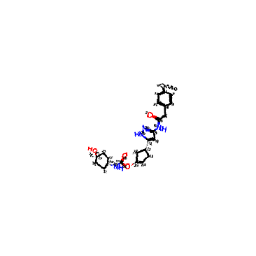 COc1ccc(CC(=O)Nc2cc([C@@H]3CC[C@H](OC(=O)N[C@H]4CC[C@](C)(O)CC4)C3)[nH]n2)cc1